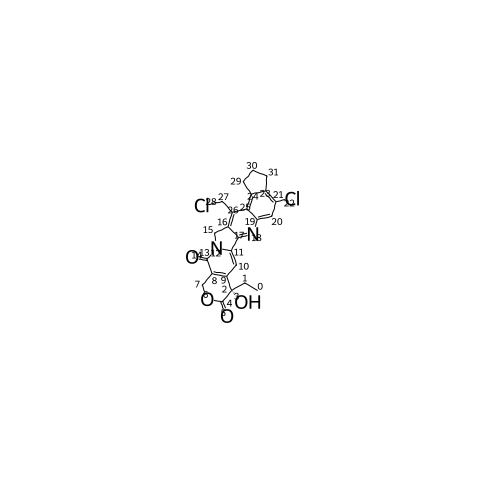 CC[C@@]1(O)C(=O)OCc2c1cc1n(c2=O)Cc2c-1nc1cc(Cl)c3c(c1c2CCl)CCC3